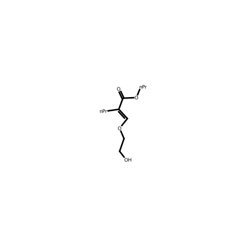 CCCOC(=O)C(=COCCO)CCC